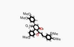 COc1ccc(C2C(C(=O)/C=C/c3ccc(OC)c(OC)c3)C(=O)C[C@H](c3ccc(OC)c(OC)c3)[C@@H]2[N+](=O)[O-])cc1